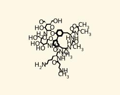 CNCCC(=O)N[C@@H](CCCCN)C(=O)N(C)[C@@H]1C(=O)N[C@@H](C)C(=O)N[C@H](C(=O)N[C@@H](C)C(C)=O)Cc2ccc(OC3O[C@H](CO)[C@@H](C=O)[C@H](O)[C@H]3N)c(c2)-c2cc1ccc2OC1O[C@H](CO)[C@@H](O)[C@H](O)[C@H]1N